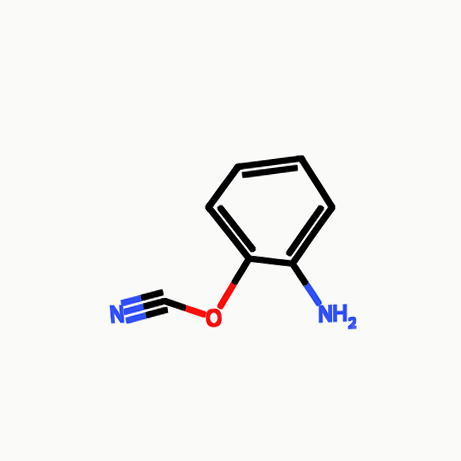 N#COc1ccccc1N